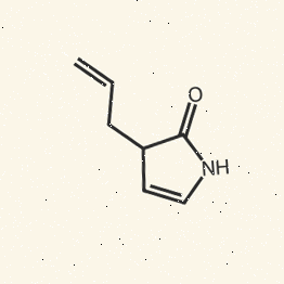 C=CCC1C=CNC1=O